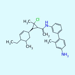 C=C(Nc1cccc(-c2ccc(N)cc2C)c1)C1C([C@@H]2C=CC(CC)C(C)C2)C1(C)Cl